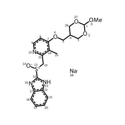 COC1OCC(COc2ccnc(C[S+]([O-])c3nc4ccccc4[nH]3)c2C)CO1.[Na]